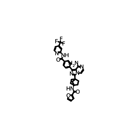 Nc1nccn2c(C34CCC(NC(=O)c5ccco5)(CC3)C4)nc(-c3ccc(C(=O)Nc4cc(C(F)(F)F)ccn4)cc3)c12